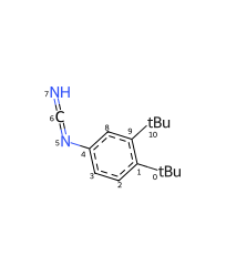 CC(C)(C)c1ccc(N=C=N)cc1C(C)(C)C